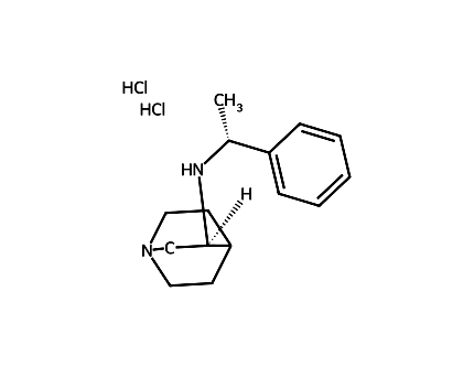 C[C@@H](N[C@@H]1CN2CCC1CC2)c1ccccc1.Cl.Cl